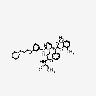 CCC(C)NC(=O)CCN1C(Nc2cccc(OCCCN3CCCCC3)c2)=NC=CC1N(C(=O)Oc1c(C)cccc1C)c1ccccc1